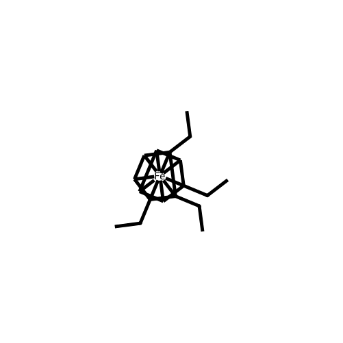 CC[C]12[CH]3[CH]4[CH]5[CH]1[Fe]45321678[CH]2[CH]1[C]6(CC)[C]7(CC)[C]28CC